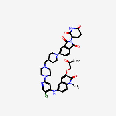 CNC(=O)COc1cc2cc(Nc3cc(N4CCN(CC5CCN(c6ccc7c(c6)C(=O)N(C6CCC(=O)NC6=O)C7=O)CC5)CC4)ncc3Cl)ccc2n(C)c1=O